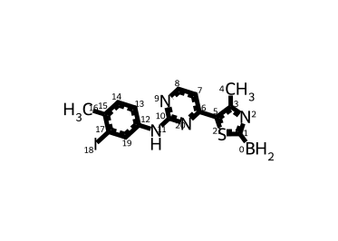 Bc1nc(C)c(-c2ccnc(Nc3ccc(C)c(I)c3)n2)s1